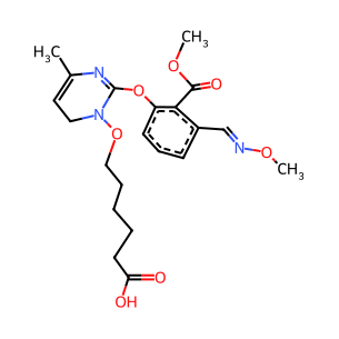 CON=Cc1cccc(OC2=NC(C)=CCN2OCCCCCC(=O)O)c1C(=O)OC